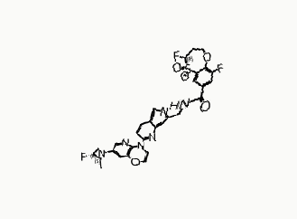 C[C@H]1[C@H](F)CN1c1cnc2c(c1)OCCN2c1ccc2cnc(CNC(=O)c3cc(F)c4c(c3)S(=O)(=O)[C@@H](F)CCO4)cc2n1